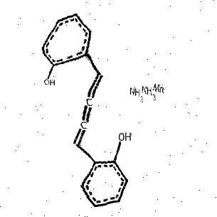 N.N.Oc1ccccc1C=C=C=Cc1ccccc1O.[Mn]